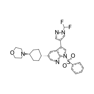 O=S(=O)(c1ccccc1)n1cc(-c2cnn(C(F)F)c2)c2cc([C@H]3CC[C@H](N4CCOCC4)CC3)cnc21